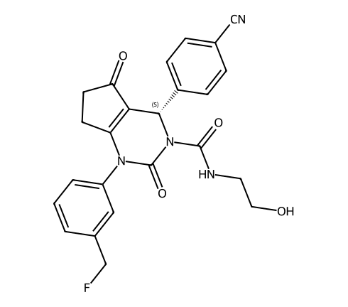 N#Cc1ccc([C@H]2C3=C(CCC3=O)N(c3cccc(CF)c3)C(=O)N2C(=O)NCCO)cc1